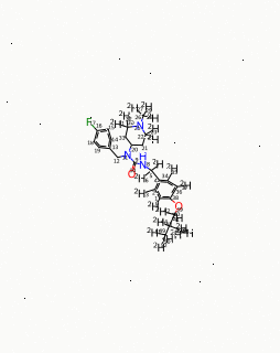 [2H]c1c([2H])c(C([2H])([2H])NC(=O)N(Cc2ccc(F)cc2)C2CC([2H])([2H])N(C([2H])([2H])[2H])C([2H])([2H])C2)c([2H])c([2H])c1OC([2H])([2H])C([2H])(C([2H])([2H])[2H])C([2H])([2H])[2H]